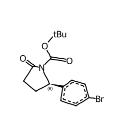 CC(C)(C)OC(=O)N1C(=O)CC[C@@H]1c1ccc(Br)cc1